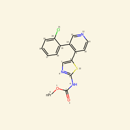 CCCOC(=O)Nc1ncc(-c2ccncc2-c2ccccc2Cl)s1